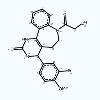 COc1ccc(C2NC(=O)NC3=C2CCN(C(=O)CO)c2ccccc23)cc1Br